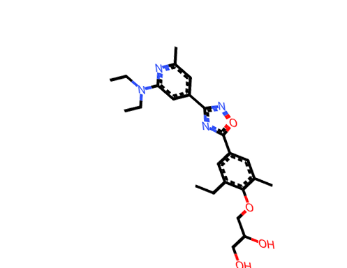 CCc1cc(-c2nc(-c3cc(C)nc(N(CC)CC)c3)no2)cc(C)c1OCC(O)CO